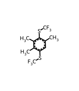 Cc1cc(SC(F)(F)F)c(C)c(C)c1SC(F)(F)F